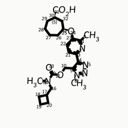 Cc1nc(-c2nnn(C)c2COC(=O)N(C)CC2CCC2)ccc1O[C@H]1CCCC[C@H](C(=O)O)C1